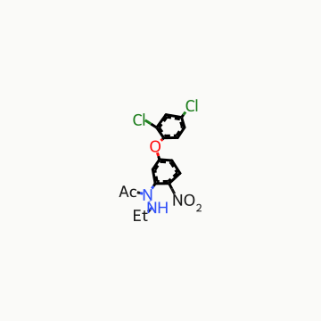 CCNN(C(C)=O)c1cc(Oc2ccc(Cl)cc2Cl)ccc1[N+](=O)[O-]